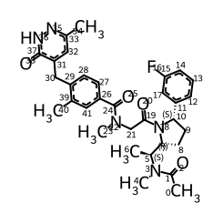 CC(=O)N(C)[C@@H](C)[C@H]1CC[C@@H](c2cccc(F)c2)N1C(=O)CN(C)C(=O)c1ccc(Cc2cc(C)n[nH]c2=O)c(C)c1